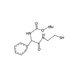 CC(C)(C)OC(=O)NC(C(=O)NCCS)c1ccccc1